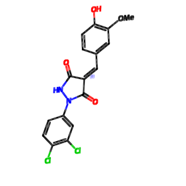 COc1cc(/C=C2\C(=O)NN(c3ccc(Cl)c(Cl)c3)C2=O)ccc1O